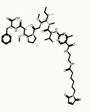 CC[C@H](C)[C@@H]([C@@H](CC(=O)N1CCC[C@H]1[C@H](OC)[C@@H](C)C(=O)N[C@@H](Cc1ccccc1)C(=O)O)OC)N(C)C(=O)[C@@H](Nc1ncc(C(=O)NCCNC(=O)CCCCCN2C(=O)C=CC2=O)c(C)n1)C(C)C